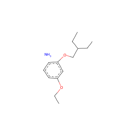 CCOc1cccc(OCC(CC)CC)c1.N